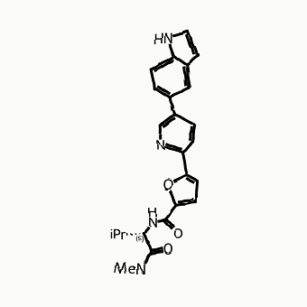 CNC(=O)[C@@H](NC(=O)c1ccc(-c2ccc(-c3ccc4[nH]ccc4c3)cn2)o1)C(C)C